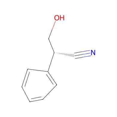 N#C[C@@H](CO)c1ccccc1